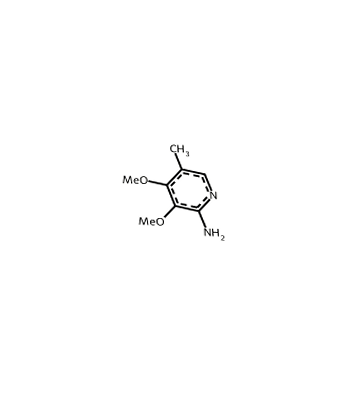 COc1c(C)cnc(N)c1OC